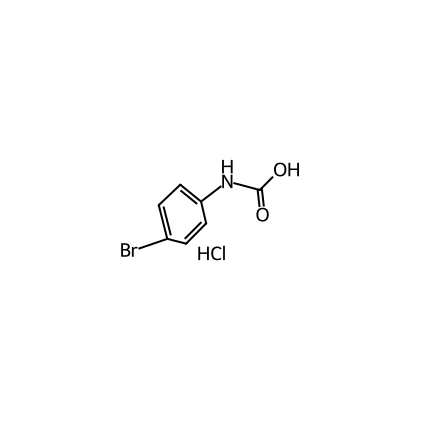 Cl.O=C(O)Nc1ccc(Br)cc1